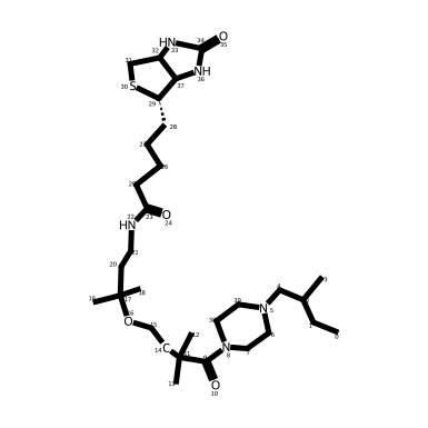 CCC(C)CN1CCN(C(=O)C(C)(C)CCOC(C)(C)CCNC(=O)CCCC[C@@H]2SCC3NC(=O)NC32)CC1